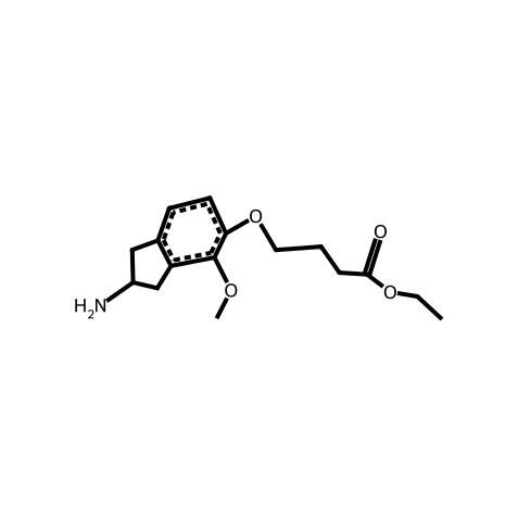 CCOC(=O)CCCOc1ccc2c(c1OC)CC(N)C2